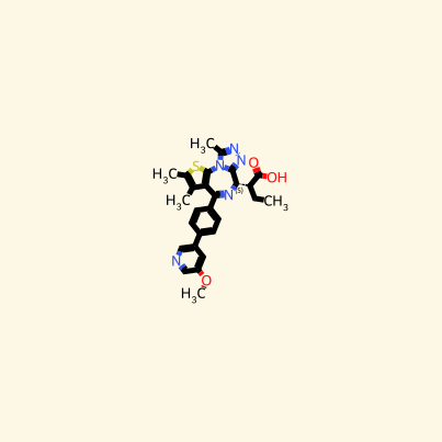 CCC(C(=O)O)[C@@H]1N=C(c2ccc(-c3cncc(OC)c3)cc2)c2c(sc(C)c2C)-n2c(C)nnc21